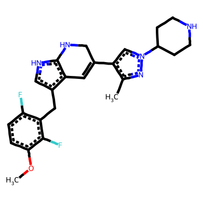 COc1ccc(F)c(Cc2c[nH]c3c2C=C(c2cn(C4CCNCC4)nc2C)CN3)c1F